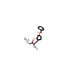 C=CC(=O)C(C)Cc1ccc(OCc2ccccc2)cc1